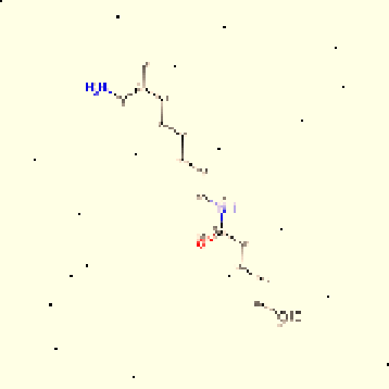 CC(CN)CCCCCCNC(=O)CCCCC=O